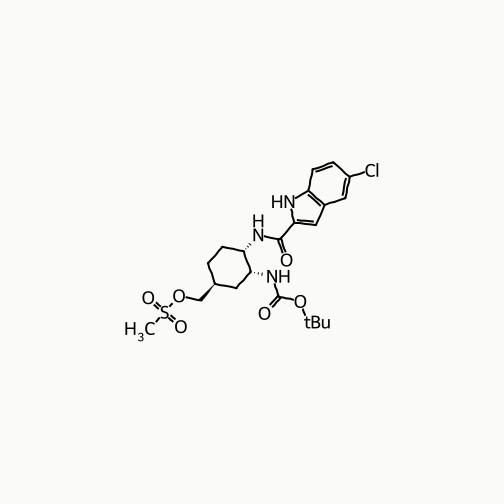 CC(C)(C)OC(=O)N[C@@H]1C[C@@H](COS(C)(=O)=O)CC[C@@H]1NC(=O)c1cc2cc(Cl)ccc2[nH]1